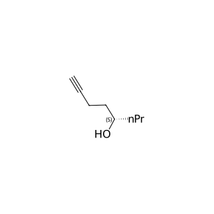 C#CCC[C@@H](O)CCC